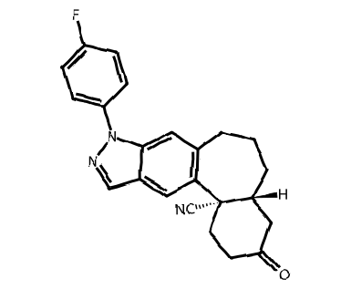 N#C[C@@]12CCC(=O)C[C@H]1CCCc1cc3c(cnn3-c3ccc(F)cc3)cc12